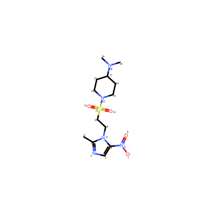 Cc1ncc([N+](=O)[O-])n1CCS(=O)(=O)N1CCC(N(C)C)CC1